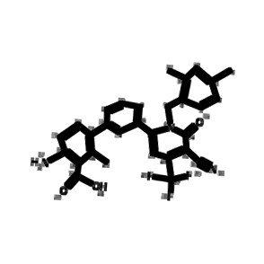 Cc1ccc(Cn2c(-c3cccc(-c4ccc(N)c(C(=O)O)c4C)c3)cc(C(F)(F)F)c(C#N)c2=O)c(C)c1